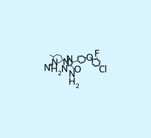 CC1CCC(n2nc(-c3ccc(Oc4ccc(Cl)cc4F)cc3)c(C(N)=O)c2N)CN1C#N